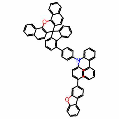 c1ccc(-c2ccccc2N(c2ccc(-c3ccc4c(c3)oc3ccccc34)cc2)c2ccc(-c3cccc4c3-c3ccccc3C43c4ccc5ccccc5c4Oc4c3ccc3ccccc43)cc2)cc1